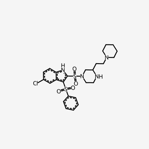 O=S(=O)(c1ccccc1)c1c(S(=O)(=O)N2CCNC(CCN3CCCCC3)C2)[nH]c2ccc(Cl)cc12